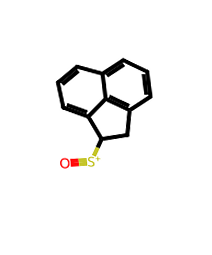 O=[S+]C1Cc2cccc3cccc1c23